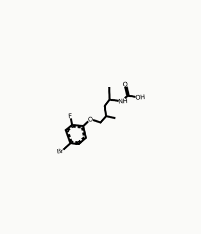 CC(COc1ccc(Br)cc1F)CC(C)NC(=O)O